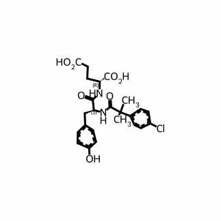 CC(C)(C(=O)N[C@@H](Cc1ccc(O)cc1)C(=O)N[C@H](CCC(=O)O)C(=O)O)c1ccc(Cl)cc1